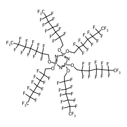 FC(F)(F)C(F)(F)C(F)(F)C(F)(F)C(F)(F)C(F)(F)COP1(OCC(F)(F)C(F)(F)C(F)(F)C(F)(F)C(F)(F)C(F)(F)F)=NP(OCC(F)(F)C(F)(F)C(F)(F)C(F)(F)C(F)(F)C(F)(F)F)(OCC(F)(F)C(F)(F)C(F)(F)C(F)(F)C(F)(F)C(F)(F)F)=NP(OCC(F)(F)C(F)(F)C(F)(F)C(F)(F)C(F)(F)C(F)(F)F)(OCC(F)(F)C(F)(F)C(F)(F)C(F)(F)C(F)(F)C(F)(F)F)=N1